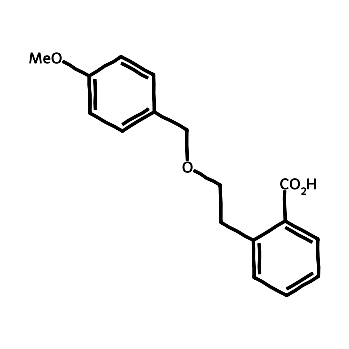 COc1ccc(COCCc2ccccc2C(=O)O)cc1